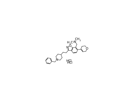 CN(C)Cc1c(C2=CCOCC2)ccc2c(CCC3CCN(Cc4ccccc4)CC3)noc12.Cl.Cl